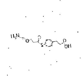 NCCOCCC(=O)Sc1ccc(CCC(=O)O)cc1